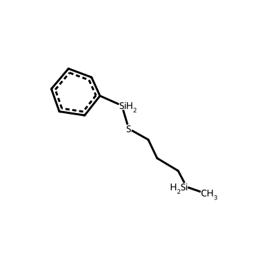 C[SiH2]CCCS[SiH2]c1ccccc1